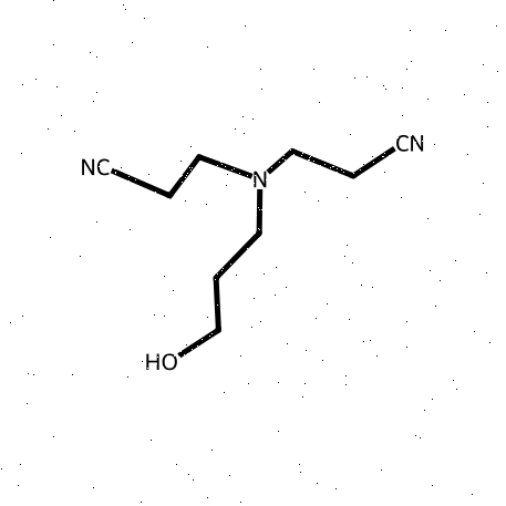 N#CCCN(CCC#N)CCCO